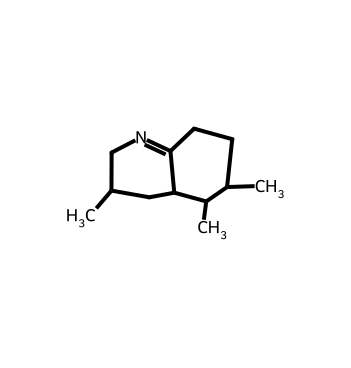 CC1CN=C2CCC(C)C(C)C2C1